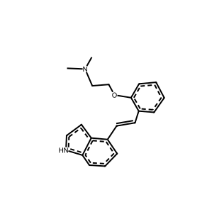 CN(C)CCOc1ccccc1/C=C/c1cccc2[nH]ccc12